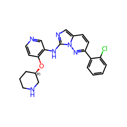 Clc1ccccc1-c1ccc2cnc(Nc3cnccc3O[C@@H]3CCCNC3)n2n1